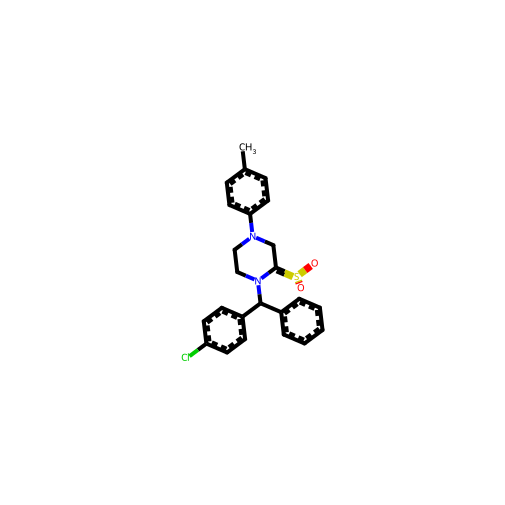 Cc1ccc(N2CCN(C(c3ccccc3)c3ccc(Cl)cc3)C(=S(=O)=O)C2)cc1